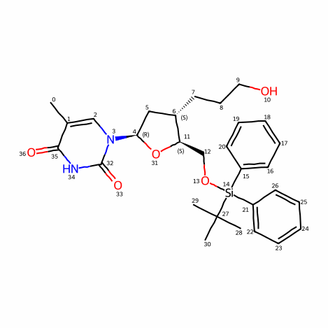 Cc1cn([C@H]2C[C@H](CCCO)[C@@H](CO[Si](c3ccccc3)(c3ccccc3)C(C)(C)C)O2)c(=O)[nH]c1=O